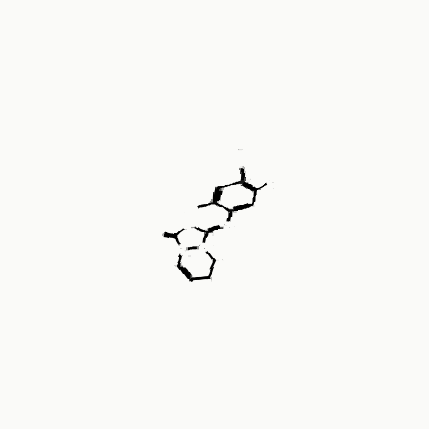 O=c1sc(=Nc2cc(S)c(Cl)cc2F)n2n1C=CCC2